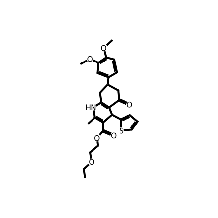 CCOCCOC(=O)C1=C(C)NC2=C(C(=O)CC(c3ccc(OC)c(OC)c3)C2)C1c1cccs1